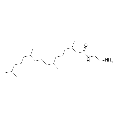 CC(C)CCCC(C)CCCC(C)CCCC(C)CC(=O)NCCN